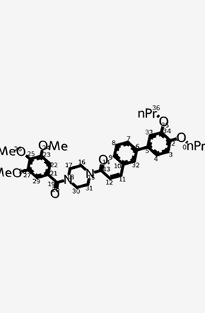 CCCOc1ccc(-c2cccc(/C=C\C(=O)N3CCN(C(=O)c4cc(OC)c(OC)c(OC)c4)CC3)c2)cc1OCCC